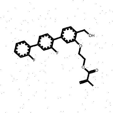 C=C(C)C(=O)OCCOc1cc(-c2ccc(-c3ccccc3F)cc2F)ccc1CO